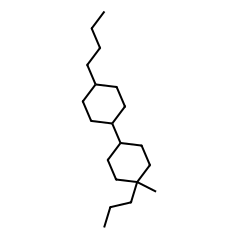 CCCCC1CCC(C2CCC(C)(CCC)CC2)CC1